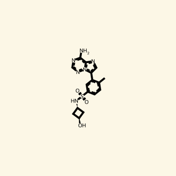 Cc1ccc(S(=O)(=O)N[C@H]2C[C@H](O)C2)cc1-c1cnc2c(N)ncnn12